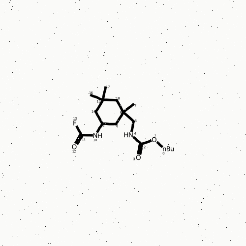 CCCCOC(=O)NCC1(C)CC(NC(=O)F)CC(C)(C)C1